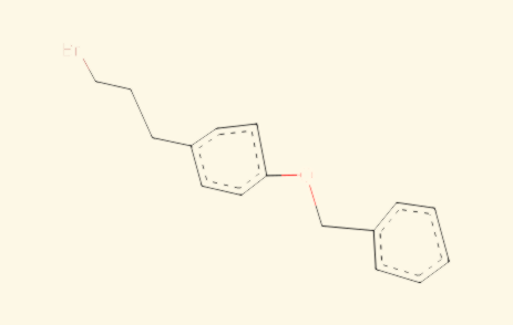 BrCCCc1ccc(OCc2ccccc2)cc1